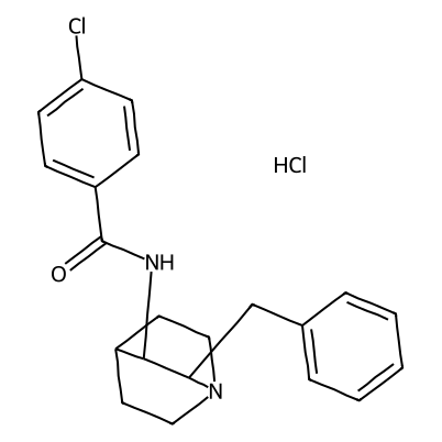 Cl.O=C(NC1C2CCN(CC2)C1Cc1ccccc1)c1ccc(Cl)cc1